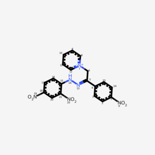 O=[N+]([O-])c1ccc(/C(C[n+]2ccccc2)=N/Nc2ccc([N+](=O)[O-])cc2[N+](=O)[O-])cc1